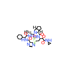 CC(C)(C)[C@H](NC(=O)[C@H](NC(=O)c1cnccn1)C1CCCCC1)C(=O)N1C[C@@H]2CCC[C@@H]2[C@H]1C(=O)NC(CC(F)F)C(=O)C(=O)NC1CC1